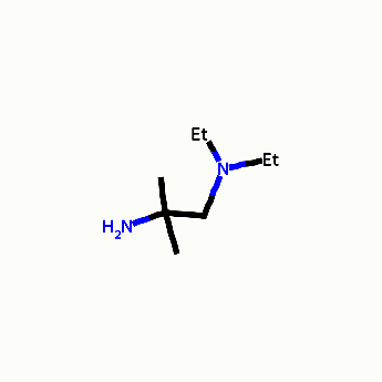 CCN(CC)CC(C)(C)N